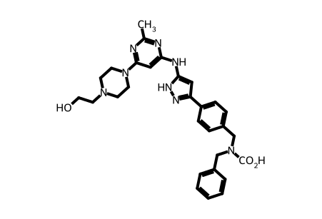 Cc1nc(Nc2cc(-c3ccc(CN(Cc4ccccc4)C(=O)O)cc3)n[nH]2)cc(N2CCN(CCO)CC2)n1